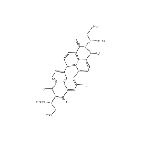 CCCCCC(CC(C)CCC)N1C(=O)c2ccc3c4ccc5c6c(cc(Br)c(c7ccc(c2c37)C1=O)c64)C(=O)N(C(CCCCC)CC(C)CCC)C5=O